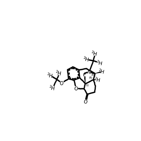 [2H]C([2H])([2H])Oc1ccc2c3c1OC1C(=O)CC[C@]4([2H])[C@@]31CCN(C([2H])([2H])[2H])[C@]4([2H])C2